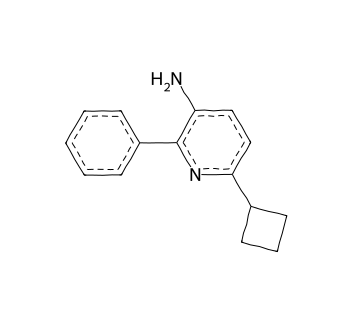 Nc1ccc(C2CCC2)nc1-c1ccccc1